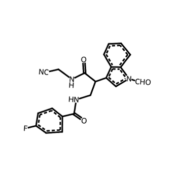 N#CCNC(=O)C(CNC(=O)c1ccc(F)cc1)c1cn(C=O)c2ccccc12